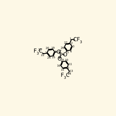 FC(F)(F)Cc1ccc(OP(Oc2ccc(CC(F)(F)F)cc2)Oc2ccc(CC(F)(F)F)cc2)cc1